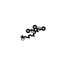 C/C(=C\Cc1c(C)c(OCc2ccccc2)c2ccccc2c1OCc1ccccc1)CC/C=C(\C)CCC1OC1(C)C